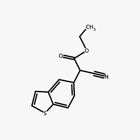 CCOC(=O)C(C#N)c1ccc2sccc2c1